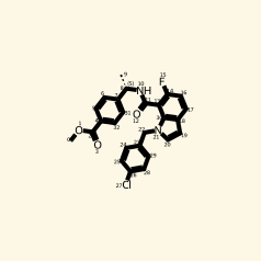 COC(=O)c1ccc([C@H](C)NC(=O)c2c(F)ccc3ccn(Cc4ccc(Cl)cc4)c23)cc1